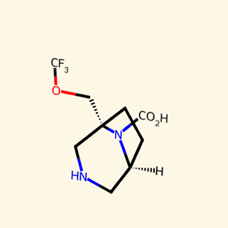 O=C(O)N1[C@H]2CC[C@]1(COC(F)(F)F)CNC2